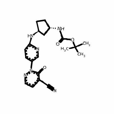 CC(C)(C)OC(=O)N[C@H]1CC[C@H](Nc2ccc(-n3nccc(C#N)c3=O)cn2)C1